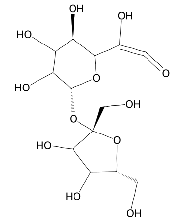 O=C=C(O)C1O[C@H](O[C@]2(CO)O[C@H](CO)C(O)C2O)C(O)C(O)[C@H]1O